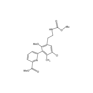 COC(=O)c1cccc(-c2c(C)c(Cl)cc(CCNC(=O)OC(C)(C)C)c2OC)n1